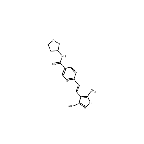 CCCCc1noc(C)c1C=Cc1ccc(C(=O)NC2CCOC2)cn1